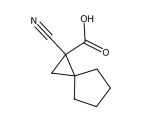 N#CC1(C(=O)O)CC12CCCC2